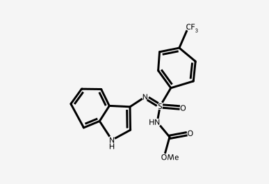 COC(=O)NS(=O)(=Nc1c[nH]c2ccccc12)c1ccc(C(F)(F)F)cc1